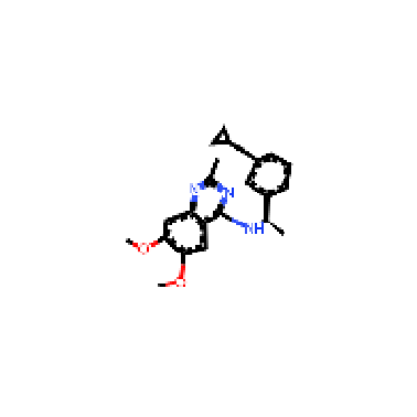 COc1cc2nc(C)nc(N[C@H](C)c3cccc(C4CC4)c3)c2cc1OC